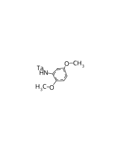 COc1ccc(OC)c([NH][Ta])c1